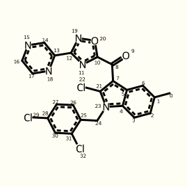 Cc1ccc2c(c1)c(C(=O)c1nc(-c3cnccn3)no1)c(Cl)n2Cc1ccc(Cl)cc1Cl